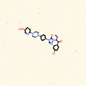 CCC(C(=O)c1ccc(Cl)cc1)n1ncn(-c2ccc(N3CCN(c4ccc(O)cn4)CC3)cc2)c1=O